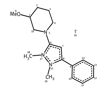 COC1CCCN(c2cc(-c3ccccc3)[n+](C)n2C)C1.[I-]